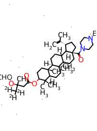 [2H]C([2H])([2H])C(C)(CC(=O)O[C@H]1CC[C@]2(C)[C@H]3CC[C@@H]4[C@H]5[C@H](C(=C)C)CC[C@]5(C(=O)N5CCN(CC)CC5)CC[C@@]4(C)[C@]3(C)CC[C@H]2C1(C)C)OC=O